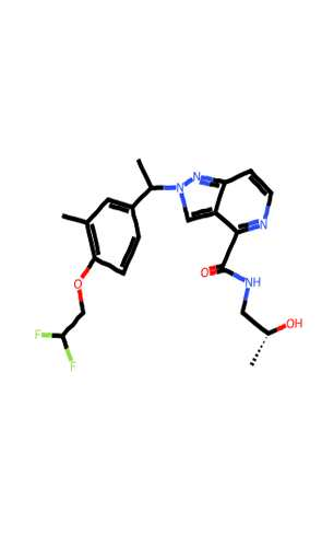 Cc1cc(C(C)n2cc3c(C(=O)NC[C@@H](C)O)nccc3n2)ccc1OCC(F)F